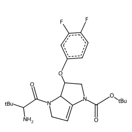 CC(C)(C)OC(=O)N1CC(Oc2ccc(F)c(F)c2)C2C1=CCN2C(=O)C(N)C(C)(C)C